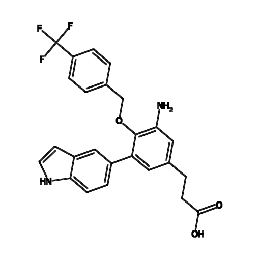 Nc1cc(CCC(=O)O)cc(-c2ccc3[nH]ccc3c2)c1OCc1ccc(C(F)(F)F)cc1